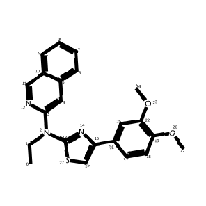 CCN(c1cc2ccccc2cn1)c1nc(-c2ccc(OC)c(OC)c2)cs1